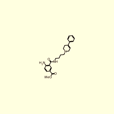 COC(=O)c1ccc(N)c(C(=O)NCCCCN2CC=C(c3ccccc3)CC2)c1